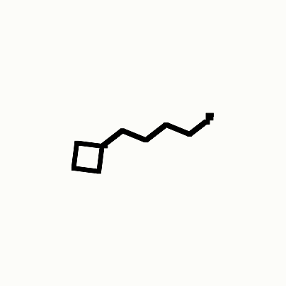 FCCCC[C]1CCC1